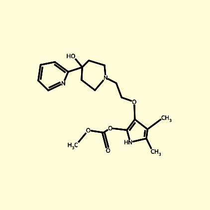 COC(=O)Oc1[nH]c(C)c(C)c1OCCN1CCC(O)(c2ccccn2)CC1